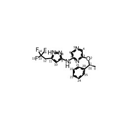 C[C@H](Oc1cncc(Nc2cc(CC(F)(F)F)[nH]n2)n1)c1ccccc1